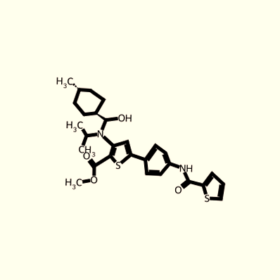 COC(=O)c1sc(-c2ccc(NC(=O)c3cccs3)cc2)cc1N(C(C)C)C(O)[C@H]1CC[C@H](C)CC1